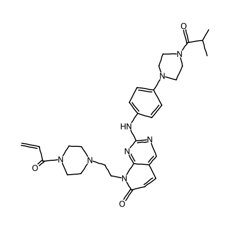 C=CC(=O)N1CCN(CCn2c(=O)ccc3cnc(Nc4ccc(N5CCN(C(=O)C(C)C)CC5)cc4)nc32)CC1